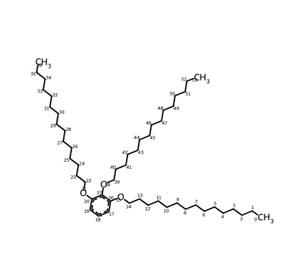 CCCCCCCCCCCCCCCOc1c[c]cc(OCCCCCCCCCCCCCCC)c1OCCCCCCCCCCCCCCC